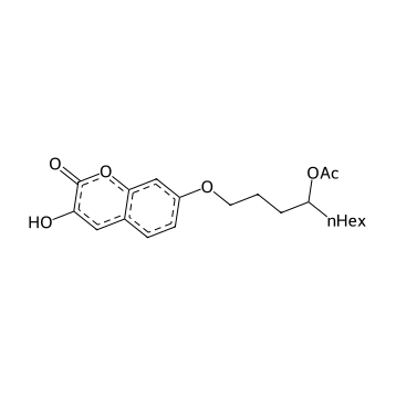 CCCCCCC(CCCOc1ccc2cc(O)c(=O)oc2c1)OC(C)=O